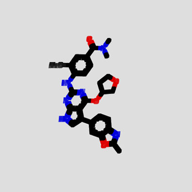 COc1cc(C(=O)N(C)C)ccc1Nc1nc(OC2CCOC2)c2c(-c3ccc4nc(C)oc4c3)c[nH]c2n1